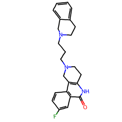 O=c1[nH]c2c(c3ccc(F)cc13)CN(CCCN1CCc3ccccc3C1)CC2